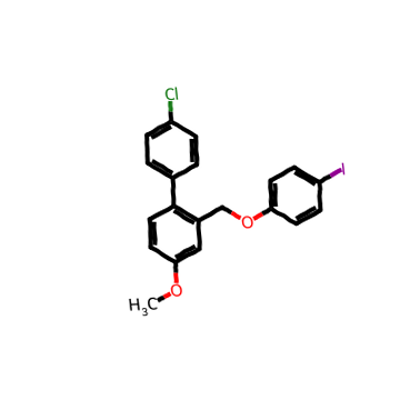 COc1ccc(-c2ccc(Cl)cc2)c(COc2ccc(I)cc2)c1